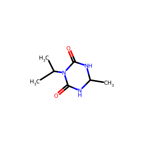 CC1NC(=O)N(C(C)C)C(=O)N1